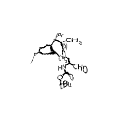 Cc1cc(F)ccc1[C@H](C(C)C)[C@H](C)OCC(C=O)NC(=O)OC(C)(C)C